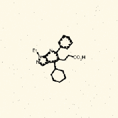 CCn1ncc2c(C3CCCCC3)c(CCC(=O)O)c(-c3ccccc3)nc21